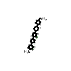 C=CC1CCC(C2CCC(c3ccc(-c4ccc(-c5ccc(C)c(F)c5F)cc4)c(F)c3)CC2)CC1